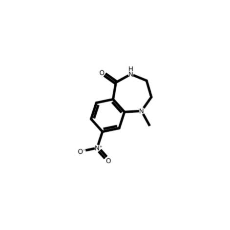 CN1CCNC(=O)c2ccc([N+](=O)[O-])cc21